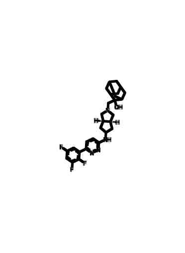 OC1(CN2C[C@H]3CC(Nc4ccc(-c5cc(F)cc(F)c5F)nn4)C[C@H]3C2)C2CC3CC(C2)CC1C3